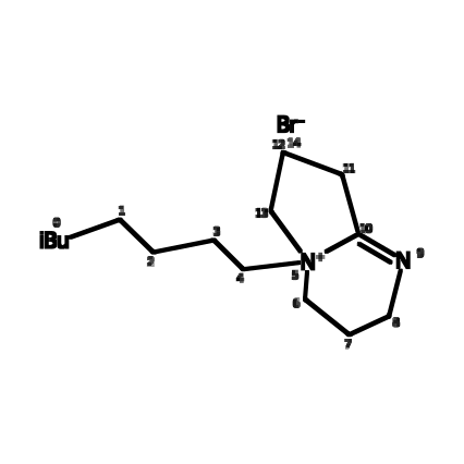 CCC(C)CCCC[N+]12CCCN=C1CCC2.[Br-]